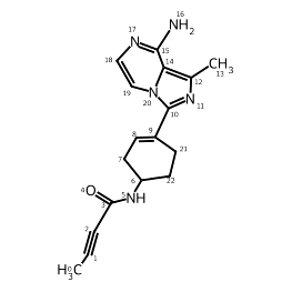 CC#CC(=O)NC1CC=C(c2nc(C)c3c(N)nccn23)CC1